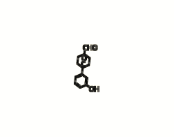 O=CC12CCC(c3cccc(O)c3)(CC1)CO2